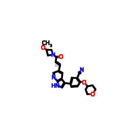 COC1CN(C(=O)/C=C/c2cnc3[nH]cc(-c4ccc(OC5CCOCC5)c(C#N)c4)c3c2)C1